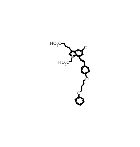 O=C(O)CCCc1cn(CC(=O)O)c2c(C=Cc3ccc(OCCCCOc4ccccc4)cc3)cc(Cl)cc12